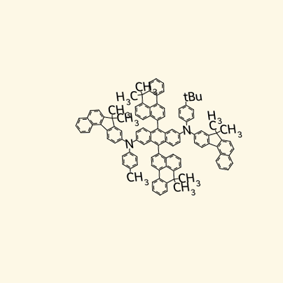 Cc1ccc(N(c2ccc3c(c2)C(C)(C)c2ccc4ccccc4c2-3)c2ccc3c(-c4ccc5c6c(cccc46)C(C)(C)c4ccccc4-5)c4cc(N(c5ccc(C(C)(C)C)cc5)c5ccc6c(c5)C(C)(C)c5ccc7ccccc7c5-6)ccc4c(-c4ccc5c6c(cccc46)C(C)(C)c4ccccc4-5)c3c2)cc1